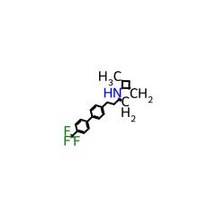 C=C(CCc1ccc(-c2ccc(C(F)(F)F)cc2)cc1)NC1C(=C)CC1C